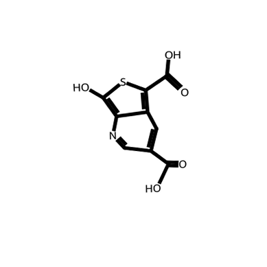 O=C(O)c1cnc2c(O)sc(C(=O)O)c2c1